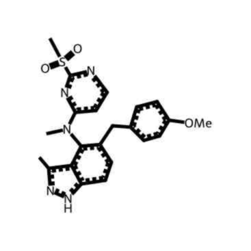 COc1ccc(Cc2ccc3[nH]nc(C)c3c2N(C)c2ccnc(S(C)(=O)=O)n2)cc1